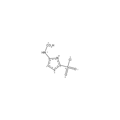 O=C(O)Nc1csc(S(=O)(=O)Cl)n1